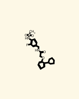 CS(=O)(=O)Nc1ccc(CNC(=O)COc2ccccc2C2CCCCC2)cc1F